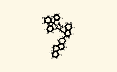 C1=NC(Cc2c(C3CCc4c(ccc5c4ccc4ccccc45)C3)ccc3ccccc23)CN1C(c1ccccc1)(c1ccccc1)c1ccccc1